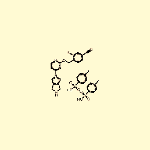 Cc1ccc(S(=O)(=O)O)cc1.Cc1ccc(S(=O)(=O)O)cc1.N#Cc1ccc(COc2nccc(-n3cc4c(n3)CNC4)n2)c(F)c1